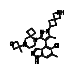 Cc1cc2[nH]ncc2c(-c2c(N3CCN(C4(C)COC4)CC34CCC4)nn(C3CC4(CNC4)C3)c2C)c1Cl